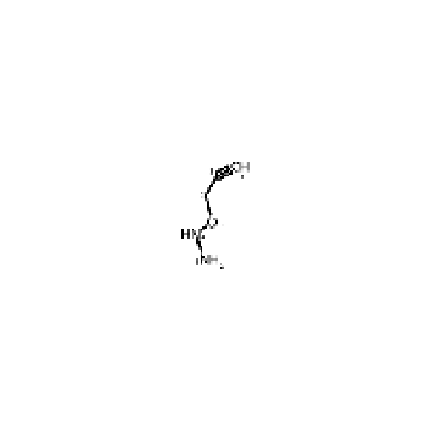 C#CCONN